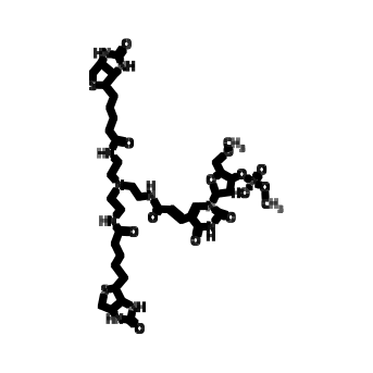 COCC1OC(n2cc(/C=C/C(=O)NCCN(CCNC(=O)CCCCC3SCC4NC(=O)NC43)CCNC(=O)CCCCC3SCC4NC(=O)NC43)c(=O)[nH]c2=O)CC1OP(=O)(O)OC